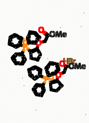 Br.COC(=O)COC1=C([PH](c2ccccc2)(c2ccccc2)c2ccccc2)CCC1.COC(=O)COC1=C([PH](c2ccccc2)(c2ccccc2)c2ccccc2)CCC1